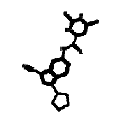 N#Cc1cn(C2CCCC2)c2ccc(NC(=O)c3cc(=O)[nH]c(=O)[nH]3)cc12